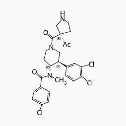 CC(=O)[C@@]1(C(=O)N2CC[C@@H](N(C)C(=O)c3ccc(Cl)cc3)[C@H](c3ccc(Cl)c(Cl)c3)C2)CCNC1